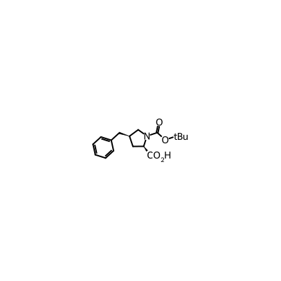 CC(C)(C)OC(=O)N1C[C@H](Cc2ccccc2)C[C@@H]1C(=O)O